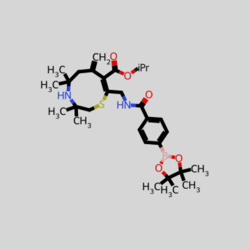 C=C1CC(C)(C)NC(C)(C)CS/C(CNC(=O)c2ccc(B3OC(C)(C)C(C)(C)O3)cc2)=C\1C(=O)OC(C)C